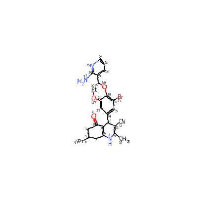 CCCC1CC(=O)C2=C(C1)NC(C)=C(C#N)C2c1cc(Br)c(OCc2cccnc2N)c(OCC)c1